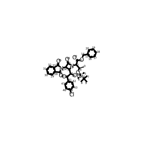 C[C@@H](O[Si](C)(C)C(C)(C)C)C(C(=O)OCc1ccccc1)N1C(=O)C(N2C(=O)c3ccccc3C2=O)C1C(O)C(=O)c1ccc(Cl)cc1